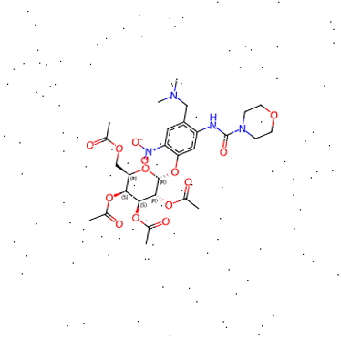 CC(=O)OC[C@H]1O[C@H](Oc2cc(NC(=O)N3CCOCC3)c(CN(C)C)cc2[N+](=O)[O-])[C@H](OC(C)=O)[C@@H](OC(C)=O)[C@H]1OC(C)=O